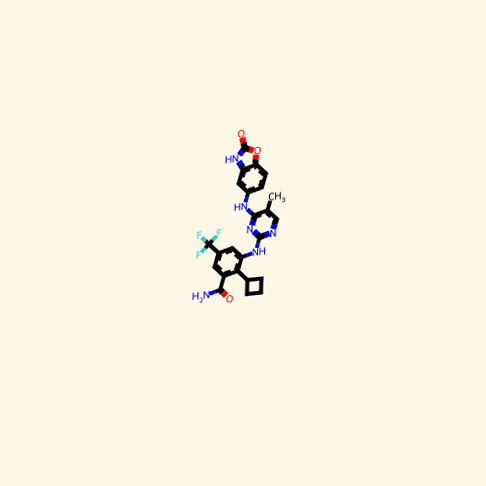 Cc1cnc(Nc2cc(C(F)(F)F)cc(C(N)=O)c2C2CCC2)nc1Nc1ccc2oc(=O)[nH]c2c1